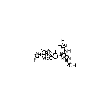 CO[C@]1(C(=O)N[C@@H](C)c2cnc(-n3cc(F)cn3)cn2)CC[C@H](c2nc(Nc3cc(C)[nH]n3)c3cnn(CC(C)(C)O)c3n2)CC1